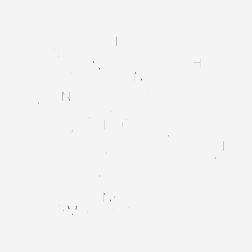 COc1ccc(-c2cc(=Nc3c(C)cc(C)cc3C)n(C)c(=O)n2C)cc1[N+](=O)[O-]